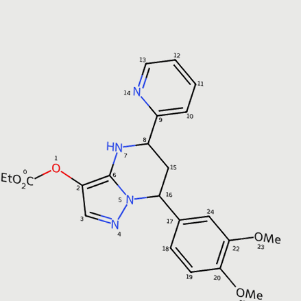 CCOC(=O)Oc1cnn2c1NC(c1ccccn1)CC2c1ccc(OC)c(OC)c1